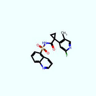 Cc1cnc(F)cc1C1(C(=O)NS(=O)(=O)c2cccc3ncccc23)CC1